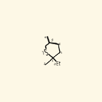 CCC1(C)CCC(C)S1